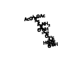 CC(=O)OC[C@H](CSC[C@H](N)C(=O)NCCOCCC(F)(F)P(=O)(O)O)OC(C)=O